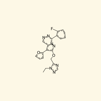 CCn1ncnc1COc1nn2c(-c3ccccc3F)nncc2c1-c1ccco1